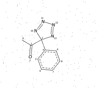 CC(=O)C1(c2ccccc2)N=NN=N1